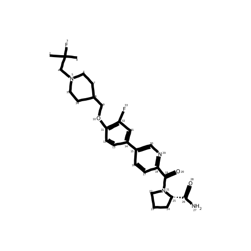 CC(C)(F)CN1CCC(COc2ccc(-c3ccc(C(=O)N4CCC[C@H]4C(N)=O)nc3)cc2F)CC1